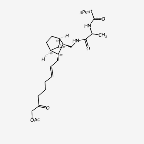 CCCCCC(=O)NC(C)C(=O)NC[C@H]1[C@@H](CC=CCCCC(=O)COC(C)=O)[C@H]2CC[C@@H]1O2